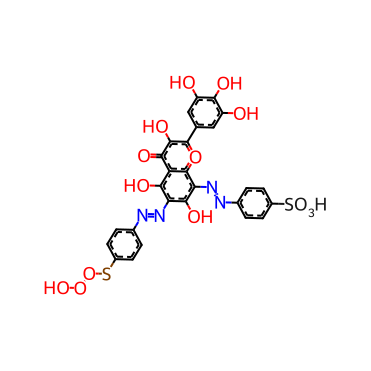 O=c1c(O)c(-c2cc(O)c(O)c(O)c2)oc2c(N=Nc3ccc(S(=O)(=O)O)cc3)c(O)c(N=Nc3ccc(SOOO)cc3)c(O)c12